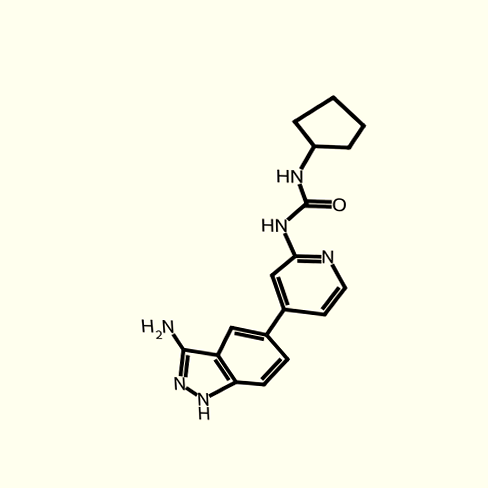 Nc1n[nH]c2ccc(-c3ccnc(NC(=O)NC4CCCC4)c3)cc12